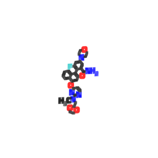 CN(CC1OCCO1)c1nccc(Oc2ccc(-c3c(F)cc(N4CCOCC4)cc3C(N)=O)c3ccccc23)n1